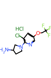 Cl.NC1CCN(c2ncc(OCC(F)(F)F)cc2Cl)C1